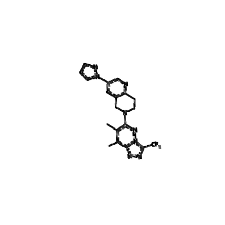 Cc1c(N2CCc3ncc(-n4cccn4)cc3C2)nn2c(C(F)(F)F)nnc2c1C